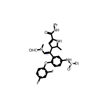 CC[S+]([O-])Nc1ccc(Oc2ccc(F)cc2F)c(/C(=C/N(C)C=O)C2C=C(C(=O)NC(C)C)NC2C)c1